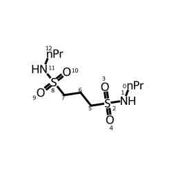 CCCNS(=O)(=O)CCCS(=O)(=O)NCCC